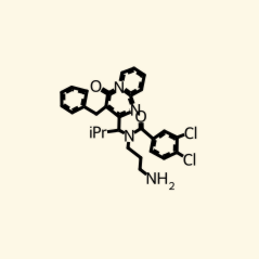 CC(C)C(c1nc2ccccn2c(=O)c1Cc1ccccc1)N(CCCN)C(=O)c1ccc(Cl)c(Cl)c1